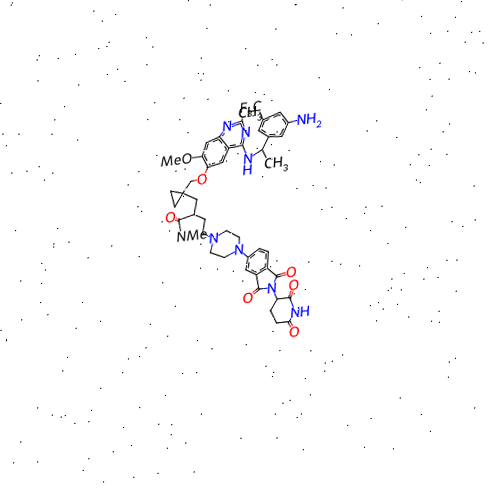 CNC(=O)C(CCN1CCN(c2ccc3c(c2)C(=O)N(C2CCC(=O)NC2=O)C3=O)CC1)CC1(COc2cc3c(NC(C)c4cc(N)cc(C(F)(F)F)c4)nc(C)nc3cc2OC)CC1